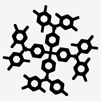 Cc1ccc(N(c2ccc(C(c3ccc(N(c4cc(C)c(C)cc4C)c4cc(C)c(C)cc4C)cc3)(c3ccc(N(c4cc(C)c(C)cc4C)c4cc(C)c(C)cc4C)cc3)c3ccc(N(c4cc(C)c(C)cc4C)c4cc(C)c(C)cc4C)cc3)cc2)c2cc(C)c(C)cc2C)cc1